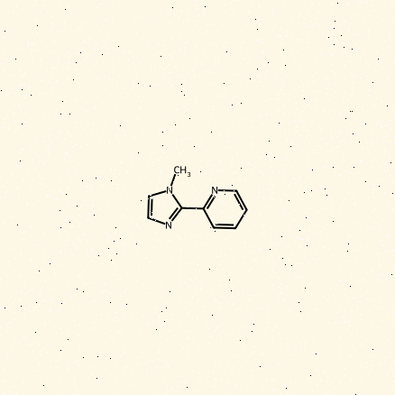 Cn1ccnc1-c1[c]cccn1